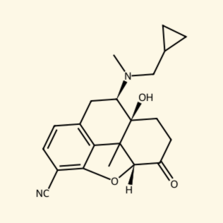 CN(CC1CC1)[C@@H]1Cc2ccc(C#N)c3c2C2(C)[C@@H](O3)C(=O)CC[C@@]12O